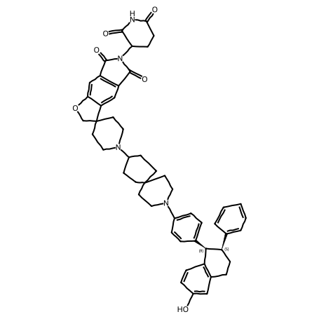 O=C1CCC(N2C(=O)c3cc4c(cc3C2=O)C2(CCN(C3CCC5(CC3)CCN(c3ccc([C@@H]6c7ccc(O)cc7CC[C@@H]6c6ccccc6)cc3)CC5)CC2)CO4)C(=O)N1